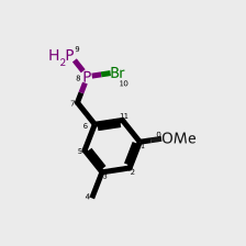 COc1cc(C)cc(CP(P)Br)c1